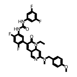 CCN1C(=O)C(c2cc(NC(=O)Nc3cc(F)cc(F)c3)c(F)cc2F)=CC2C=NC(N(C)Cc3ccc(OC)cc3)=CC21